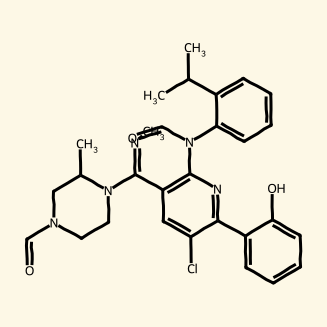 C/N=C(\c1cc(Cl)c(-c2ccccc2O)nc1N(C=O)c1ccccc1C(C)C)N1CCN(C=O)CC1C